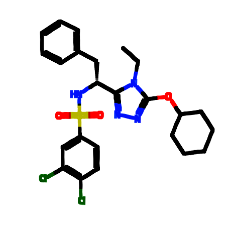 CCn1c(OC2CCCCC2)nnc1[C@@H](Cc1ccccc1)NS(=O)(=O)c1ccc(Cl)c(Cl)c1